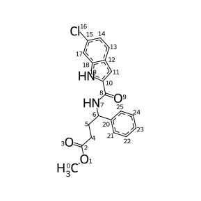 COC(=O)CCC(NC(=O)c1cc2ccc(Cl)cc2[nH]1)c1ccccc1